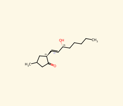 CCCCC[C@@H](O)/C=C/[C@@H]1CC(C)CC1=O